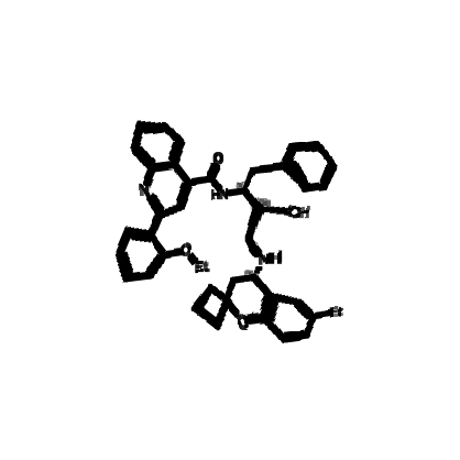 CCOc1ccccc1-c1cc(C(=O)N[C@@H](Cc2ccccc2)[C@@H](O)CN[C@H]2CC3(CCC3)Oc3ccc(CC)cc32)c2ccccc2n1